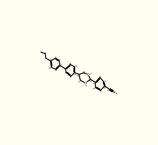 CCCc1ccc(-c2ccc(C3COC(c4ccc(C#N)cc4)OC3)cc2)cc1